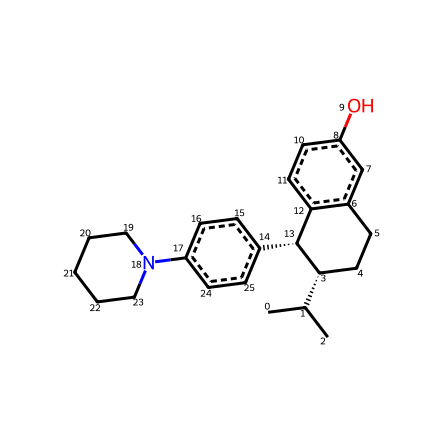 CC(C)[C@H]1CCc2cc(O)ccc2[C@H]1c1ccc(N2CCCCC2)cc1